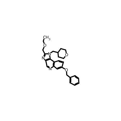 CCOCc1nc2cnc3cc(OCc4ccccc4)ccc3c2n1CC1CCOCC1